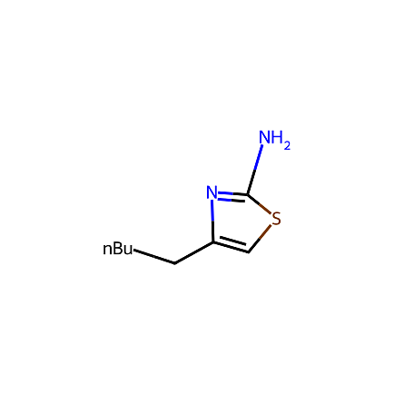 CCCCCc1csc(N)n1